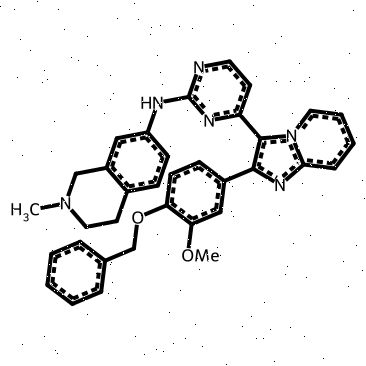 COc1cc(-c2nc3ccccn3c2-c2ccnc(Nc3ccc4c(c3)CN(C)CC4)n2)ccc1OCc1ccccc1